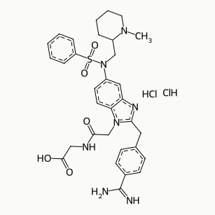 CN1CCCCC1CN(c1ccc2c(c1)nc(Cc1ccc(C(=N)N)cc1)n2CC(=O)NCC(=O)O)S(=O)(=O)c1ccccc1.Cl.Cl